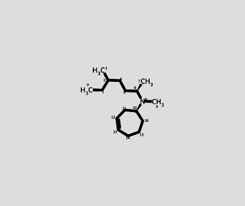 CCC(C)CC[C@@H](C)N(C)[C@@H]1CC=CCCC1